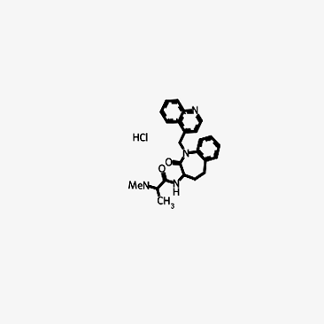 CNC(C)C(=O)NC1CCc2ccccc2N(Cc2ccnc3ccccc23)C1=O.Cl